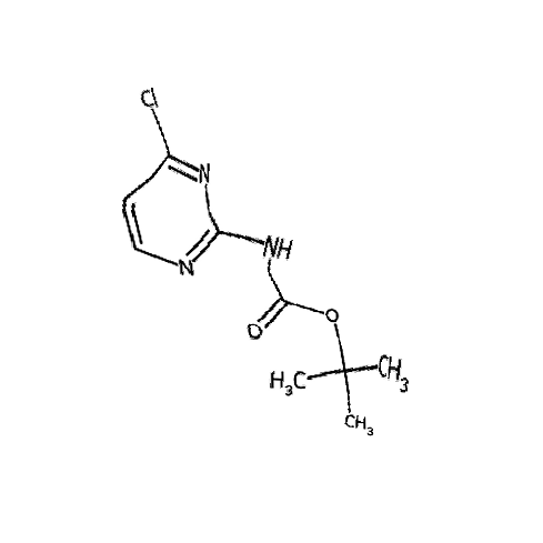 CC(C)(C)OC(=O)Nc1nccc(Cl)n1